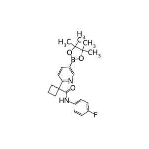 CC1(C)OB(c2ccc(C3(C(=O)Nc4ccc(F)cc4)CCC3)nc2)OC1(C)C